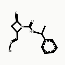 CC(NC(=O)N1C(=O)CC1/C=N/O)c1ccccc1